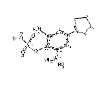 Nc1cc(N2CCCC2)nc(N)[n+]1OS(=O)(=O)O.[OH-]